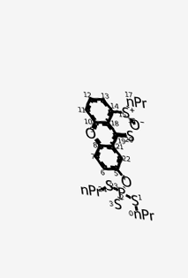 CCCSP(=S)(Oc1ccc2oc3cccc([S+]([O-])CCC)c3c(=S)c2c1)SCCC